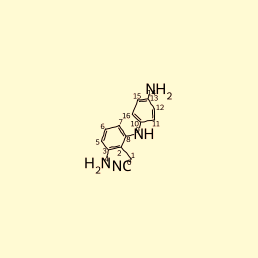 N#CCc1c(N)cccc1Nc1ccc(N)cc1